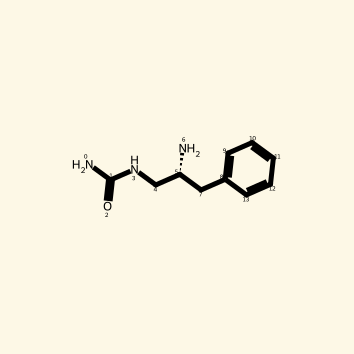 NC(=O)NC[C@H](N)Cc1ccccc1